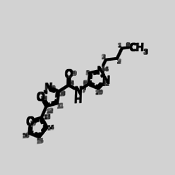 CCCCn1cc(NC(=O)c2cc(-c3ccco3)on2)cn1